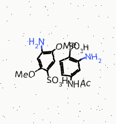 CC(=O)Nc1ccc(S(=O)(=O)O)c(N)c1.COc1cc(S(=O)(=O)O)c(OC)cc1N